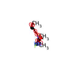 CCOC(=O)C1=CC(CCOCCOCCN(c2cc3oc(-c4ccc(F)cc4)c(C(=O)NC)c3cc2C2CC2)S(C)(=O)=O)CC=C1